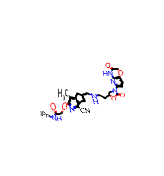 Cc1c(OCC(=O)NC(C)C)nc(C#N)c2c1CC(CNCCC1CN(c3ccc4c(n3)NC(=O)CO4)C(=O)O1)C2